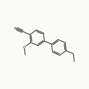 CCc1ccc(-c2ccc(C#N)c(OC)c2)cc1